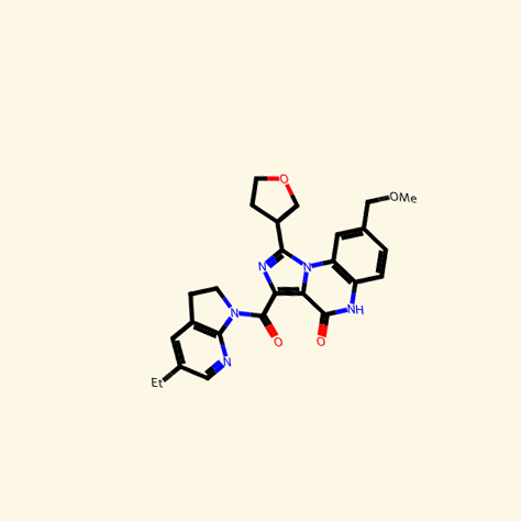 CCc1cnc2c(c1)CCN2C(=O)c1nc(C2CCOC2)n2c1c(=O)[nH]c1ccc(COC)cc12